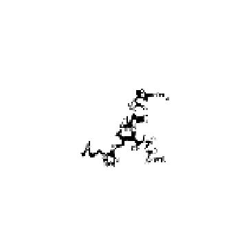 CCCCCC(=O)OC(OC(=O)C1=C(CSc2nnnn2CCN(C)C)CS[C@@H]2[C@H](NC(=O)Cc3csc(N)n3)C(=O)N12)C(C)C